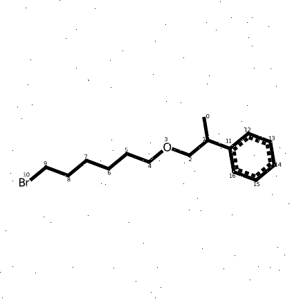 CC(COCCCCCCBr)c1ccccc1